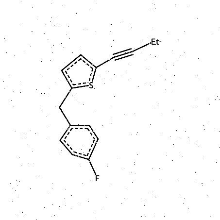 C[CH]C#Cc1ccc(Cc2ccc(F)cc2)s1